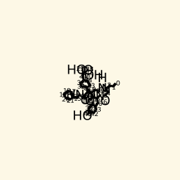 C=CCN1CC(=O)N2C(CN(C(C(=O)NCc3ccccc3)c3ccc(CP(=O)(O)O)cc3)C(=O)C2Cc2ccc(O)cc2)N1